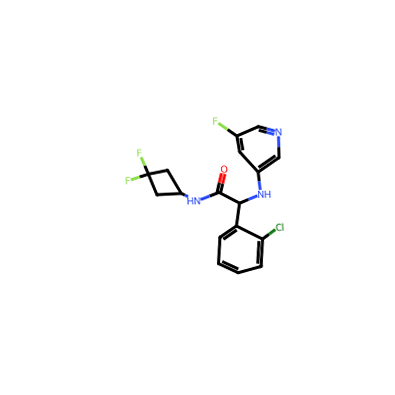 O=C(NC1CC(F)(F)C1)C(Nc1cncc(F)c1)c1ccccc1Cl